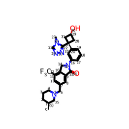 C[C@H]1CCCN(Cc2cc3c(c(C(F)(F)F)c2)CN(c2cccc([C@]4(c5nncn5C)C[C@H](O)C4)c2)C3=O)C1